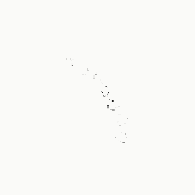 CON(C)C(=O)[C@H]1CC[C@H](c2nnc(-c3ccc(-c4cnc(N5CCC(OC6CCCCC6)CC5)nc4)cc3)s2)CC1